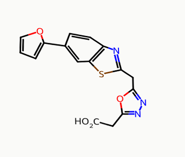 O=C(O)Cc1nnc(Cc2nc3ccc(-c4ccco4)cc3s2)o1